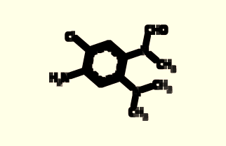 CN(C)c1cc(N)c(Cl)cc1N(C)C=O